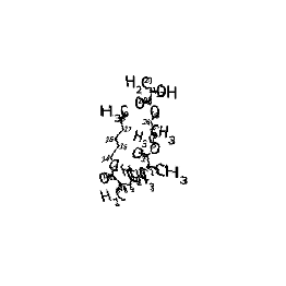 C=C(C)C(=O)OC.C=C(CC)C(=O)OCCCCCC.C=C(O)C(=O)OCC